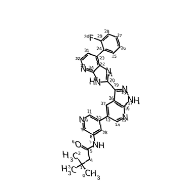 CC(C)(C)CC(=O)Nc1cncc(-c2cnc3[nH]nc(-c4nc5c(-c6ccccc6F)ccnc5[nH]4)c3c2)c1